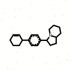 C1=CC(c2ccc(C3CCC4CCCCN43)cc2)CCC1